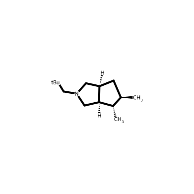 C[C@@H]1[C@H]2CN(CC(C)(C)C)C[C@H]2C[C@H]1C